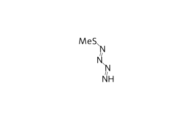 CSN=NN=N